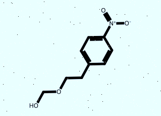 O=[N+]([O-])c1ccc(CCOCO)cc1